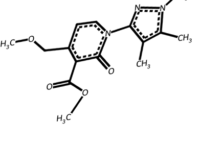 COCc1ccn(-c2nn(C)c(C)c2C)c(=O)c1C(=O)OC